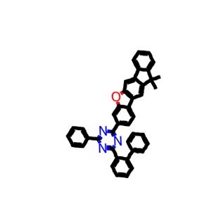 CC1(C)c2ccccc2-c2cc3oc4cc(-c5nc(-c6ccccc6)nc(-c6ccccc6-c6ccccc6)n5)ccc4c3cc21